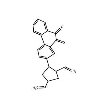 C=CC1CC(C=C)C(c2ccc3c(c2)C(=O)C(=O)c2ccccc2-3)C1